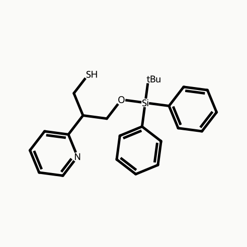 CC(C)(C)[Si](OCC(CS)c1ccccn1)(c1ccccc1)c1ccccc1